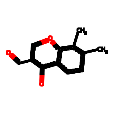 Cc1ccc2c(=O)c(C=O)coc2c1C